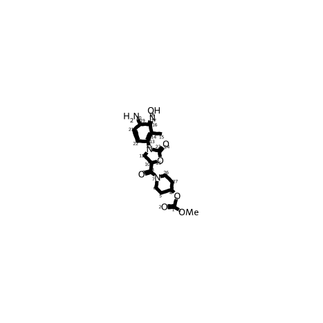 COC(=O)OC1CCN(C(=O)C2CN(C3=C(C)C(=NO)C(N)C=C3)C(=O)O2)CC1